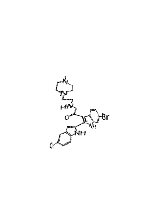 CN1CCN(CCNCC(=O)c2c(-c3cc4cc(Cl)ccc4[nH]3)[nH]c3cc(Br)ccc23)CC1